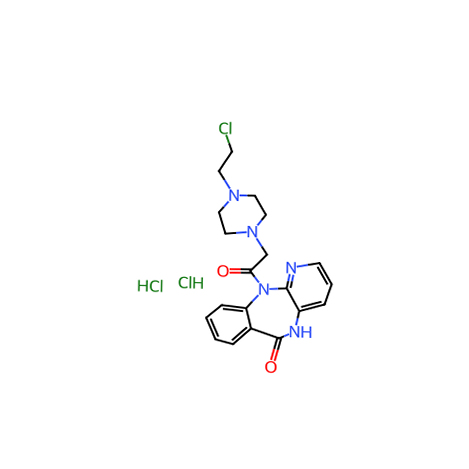 Cl.Cl.O=C1Nc2cccnc2N(C(=O)CN2CCN(CCCl)CC2)c2ccccc21